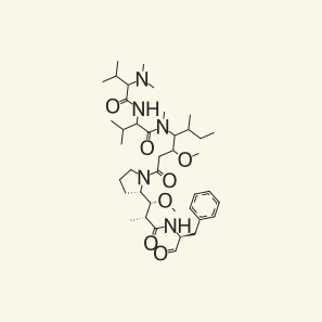 CCC(C)C(C(CC(=O)N1CCC[C@H]1[C@H](OC)[C@@H](C)C(=O)N[C@H](C=O)Cc1ccccc1)OC)N(C)C(=O)C(NC(=O)C(C(C)C)N(C)C)C(C)C